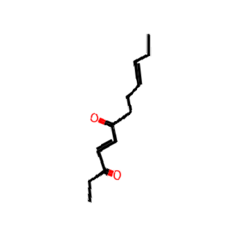 CCC=CCCC(=O)C=CC(=O)CC